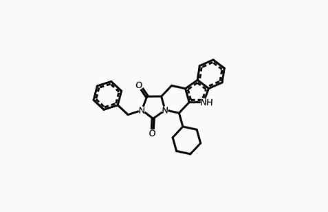 O=C1C2Cc3c([nH]c4ccccc34)C(C3CCCCC3)N2C(=O)N1Cc1ccccc1